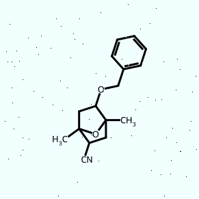 CC12CC(OCc3ccccc3)C(C)(CC1C#N)O2